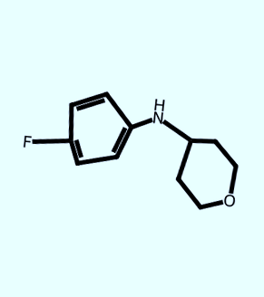 Fc1ccc(NC2CCOCC2)cc1